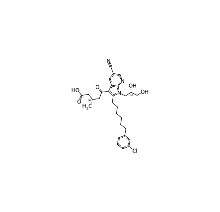 C[C@H](CC(=O)O)CC(=O)c1c(CCCCCCc2cccc(Cl)c2)n(C[C@H](O)CO)c2ncc(C#N)cc12